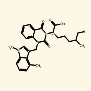 Cc1cccc2c1c(Cn1c(=O)n([C@H](CCCC(C)CI)C(=O)O)c(=O)c3ccccc31)cn2C